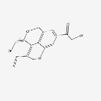 C=CC1=C2/C(=C\Br)OCc3cc(C(=O)CBr)cc(c32)OC1